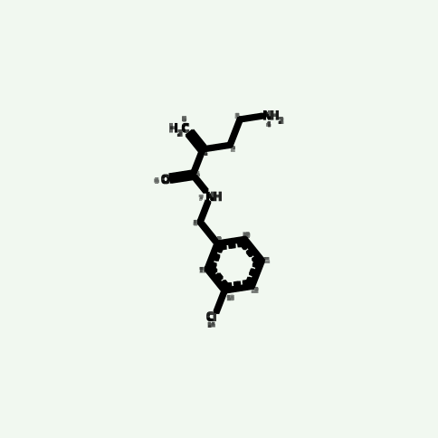 C=C(CCN)C(=O)NCc1cccc(Cl)c1